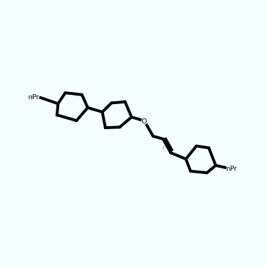 CCCC1CCC(/C=C/COC2CCC(C3CCC(CCC)CC3)CC2)CC1